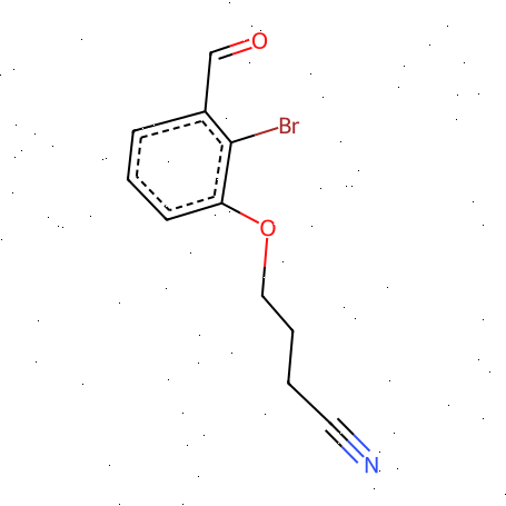 N#CCCCOc1cccc(C=O)c1Br